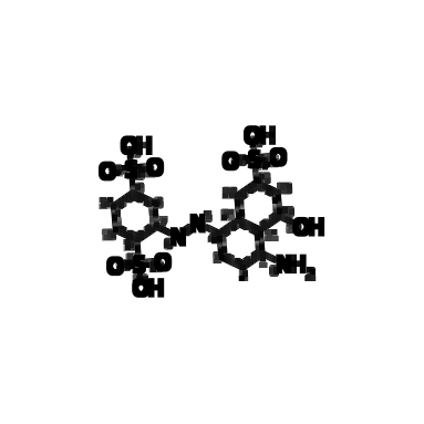 Nc1ccc(N=Nc2cc(S(=O)(=O)O)ccc2S(=O)(=O)O)c2cc(S(=O)(=O)O)cc(O)c12